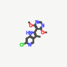 COc1ncnc(OC)c1-c1[nH]c2cc(Cl)ncc2c1C